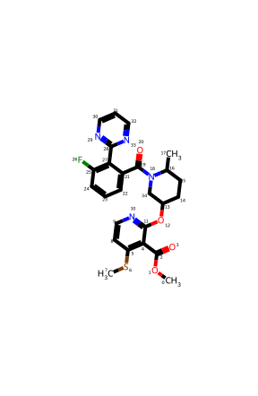 COC(=O)c1c(SC)ccnc1OC1CCC(C)N(C(=O)c2cccc(F)c2-c2ncccn2)C1